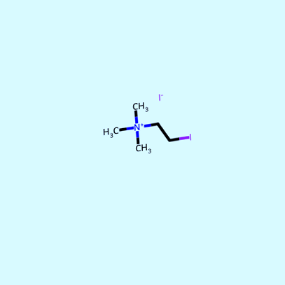 C[N+](C)(C)CCI.[I-]